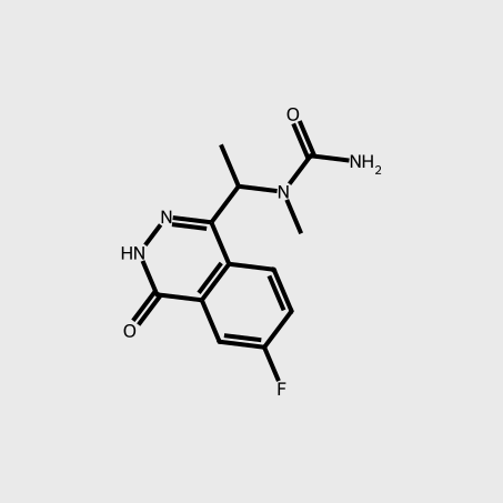 CC(c1n[nH]c(=O)c2cc(F)ccc12)N(C)C(N)=O